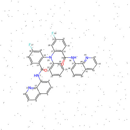 O=C(Nc1cccc2cccnc12)c1ccc(F)cc1N(c1ccccc1)c1cc(F)ccc1C(=O)Nc1cccc2cccnc12